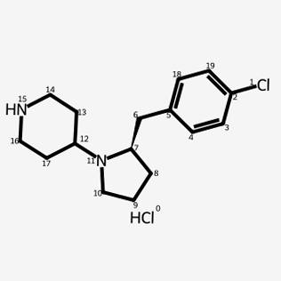 Cl.Clc1ccc(C[C@H]2CCCN2C2CCNCC2)cc1